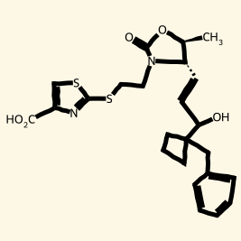 C[C@@H]1OC(=O)N(CCSc2nc(C(=O)O)cs2)[C@H]1/C=C/C(O)C1(Cc2ccccc2)CCC1